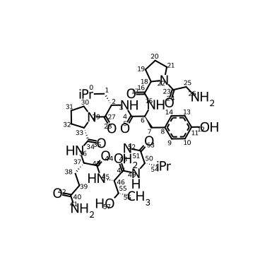 CC(C)C[C@H](NC(=O)[C@H](Cc1ccc(O)cc1)NC(=O)C1CCCN1C(=O)CN)C(=O)N1CCC[C@H]1C(=O)N[C@@H](CCC(N)=O)C(=O)N[C@H](C(=O)N[C@H](C(N)=O)C(C)C)[C@H](C)O